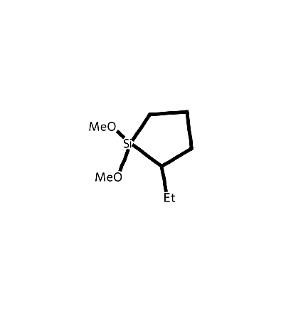 CCC1CCC[Si]1(OC)OC